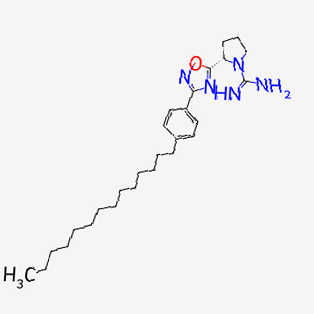 CCCCCCCCCCCCCCc1ccc(-c2noc([C@@H]3CCCN3C(=N)N)n2)cc1